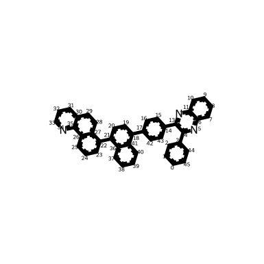 c1ccc(-c2nc3ccccc3nc2-c2ccc(-c3ccc(-c4cccc5c4ccc4cccnc45)c4ccccc34)cc2)cc1